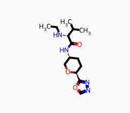 CCN[C@@H](C(=O)N[C@@H]1CC[C@@H](c2nnco2)OC1)C(C)C